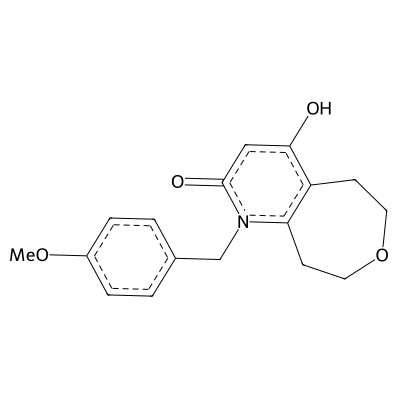 COc1ccc(Cn2c3c(c(O)cc2=O)CCOCC3)cc1